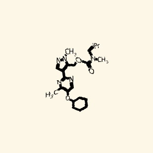 Cc1nc(-c2cnn(C)c2COC(=O)N(C)CC(C)C)ncc1OC1CCCCC1